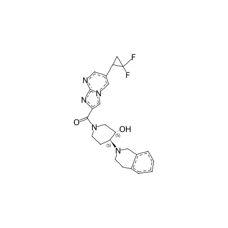 O=C(c1cn2cc(C3CC3(F)F)cnc2n1)N1CC[C@H](N2CCc3ccccc3C2)[C@@H](O)C1